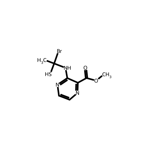 COC(=O)c1nccnc1NC(C)(S)Br